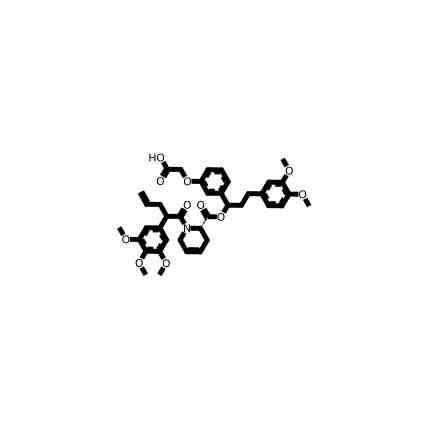 C=CCC(C(=O)N1CC=CC[C@H]1C(=O)OC(CCc1ccc(OC)c(OC)c1)c1cccc(OCC(=O)O)c1)c1cc(OC)c(OC)c(OC)c1